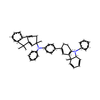 CC1(C)C2=CC(C)(N(c3ccccc3)c3ccc(C4=CC5=C(CC4)N(c4ccccc4)C4C=CC=CC54C)cc3)CC=C2c2ccccc21